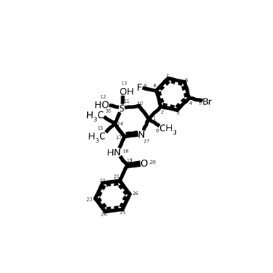 CC1(c2cc(Br)ccc2F)CS(O)(O)C(C)(C)C(NC(=O)c2ccccc2)=N1